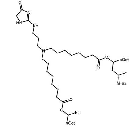 CCCCCCCCC(CC)OC(=O)CCCCCCCN(CCCCCCCC(=O)OC(CCCCCCCC)C[C@H](C)CCCCCC)CCCNC1=NC(=O)CN1